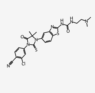 CN(C)CCNC(=O)Nc1nc2cc(N3C(=S)N(c4ccc(C#N)c(Cl)c4)C(=O)C3(C)C)ccc2s1